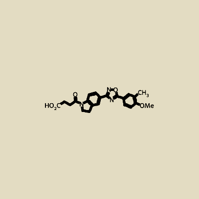 COc1ccc(-c2nc(-c3ccc4c(c3)CCN4C(=O)CCC(=O)O)no2)cc1C